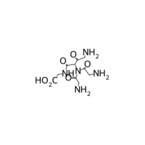 NCC(=O)C(C(=O)NCC(=O)O)N(C(=O)CN)C(=O)CN